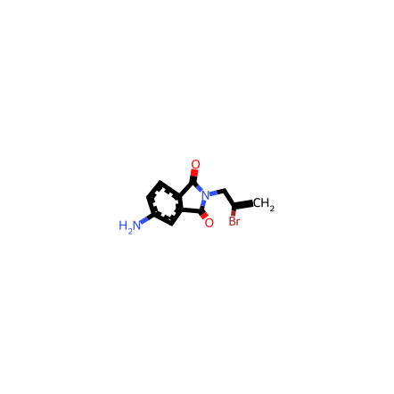 C=C(Br)CN1C(=O)c2ccc(N)cc2C1=O